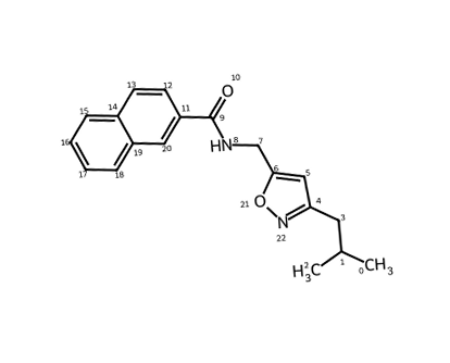 CC(C)Cc1cc(CNC(=O)c2ccc3ccccc3c2)on1